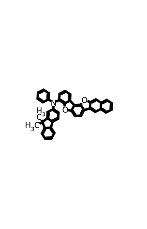 CC1(C)c2ccccc2-c2ccc(N(c3ccccc3)c3cccc4c3oc3ccc5c6cc7ccccc7cc6oc5c34)cc21